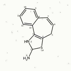 NC1NC2=C(CC=Cc3ccccc32)S1